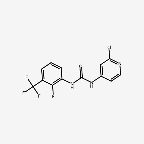 O=C(Nc1ccnc(Cl)c1)Nc1cccc(C(F)(F)F)c1F